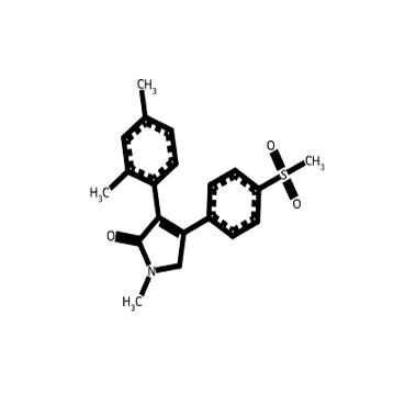 Cc1ccc(C2=C(c3ccc(S(C)(=O)=O)cc3)CN(C)C2=O)c(C)c1